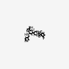 Bc1cnn2c(NCc3cccnc3)cc(C3CCN(S(=O)(=O)c4cc(F)ccc4C)CC3)nc12